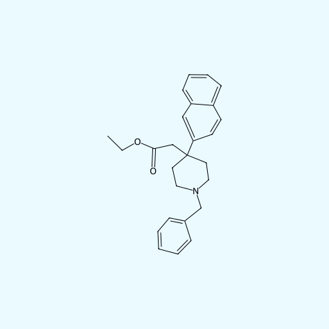 CCOC(=O)CC1(c2ccc3ccccc3c2)CCN(Cc2ccccc2)CC1